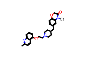 CCN1C(=O)COc2ccc(CC3CCN(CCOc4cccc5nc(C)ccc45)CC3)cc21